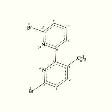 Cc1ccc(Br)nc1-c1cccc(Br)n1